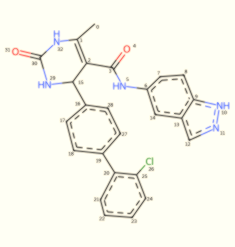 CC1=C(C(=O)Nc2ccc3[nH]ncc3c2)C(c2ccc(-c3ccccc3Cl)cc2)NC(=O)N1